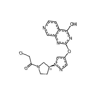 O=C(CCl)N1CC[C@H](n2cc(Oc3nc(O)c4ccncc4n3)cn2)C1